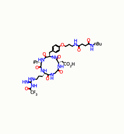 CCCCNC(=O)CCC(=O)NCCCOc1ccc(C[C@H]2NC(=O)[C@H](CC(=O)O)NC(=O)CNC(=O)[C@H](CCCNC(=N)NC(=O)C(F)(F)F)NC(=O)[C@H](C(C)C)NC2=O)cc1